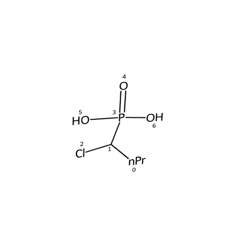 CCCC(Cl)P(=O)(O)O